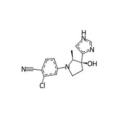 C[C@@H]1N(c2ccc(C#N)c(Cl)c2)CC[C@@]1(O)c1c[nH]cn1